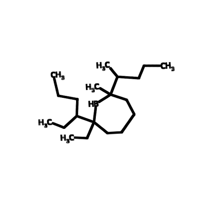 CCCC(C)C1(C)BC(CC)(C(CC)CCC)CCCC1